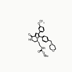 CC(C)(C)OC(=O)NCC[C@H]1CNC(=O)c2cc(-c3cccc(OC(F)(F)F)c3)c(-c3ccc(CN4CCOCC4)cc3)n21